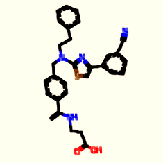 C=C(NCCC(=O)O)c1ccc(CN(CCc2ccccc2)c2nc(-c3cccc(C#N)c3)cs2)cc1